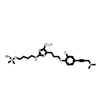 CN(C)CC#Cc1ccc(OCCCc2sc(NCCCCO[Si](C)(C)C(C)(C)C)nc2C(=O)O)c(F)c1